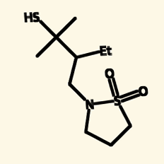 CCC(CN1CCCS1(=O)=O)C(C)(C)S